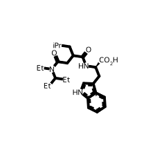 CCC(CC)N(CC)C(=O)CC(CC(C)C)C(=O)N[C@H](Cc1c[nH]c2ccccc12)C(=O)O